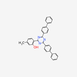 Cc1ccc(-c2nc(-c3ccc(-c4ccccc4)cc3)nc(-c3ccc(-c4ccccc4)cc3)n2)c(O)c1